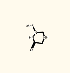 CSN1CNCC(=O)N1